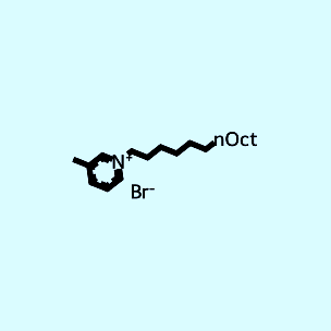 CCCCCCCCCCCCCC[n+]1cccc(C)c1.[Br-]